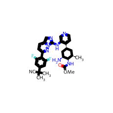 COC(=O)N[C@@H]1[C@H](N)C[C@H](c2ccncc2Nc2ncc3ccc(-c4c(F)cc(C(C)(C)C#N)cc4F)nn23)C[C@@H]1C